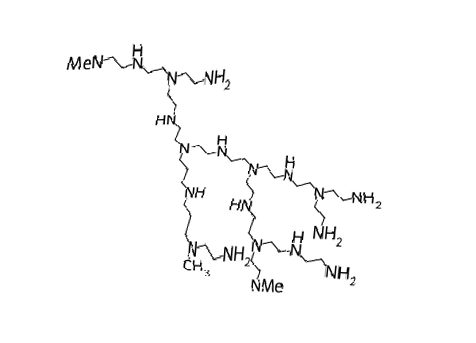 CNCCNCCN(CCN)CCNCCN(CCCNCCCN(C)CCN)CCNCCN(CCNCCN(CCN)CCN)CCNCCN(CCNC)CCNCCN